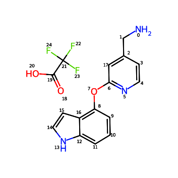 NCc1ccnc(Oc2cccc3[nH]ccc23)c1.O=C(O)C(F)(F)F